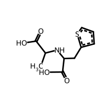 CC(NC(Cc1cccs1)C(=O)O)C(=O)O